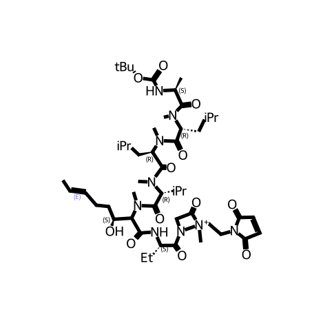 C/C=C/CC[C@H](O)C(C(=O)N[C@@H](CC)C(=O)N1CC(=O)[N+]1(C)CCN1C(=O)C=CC1=O)N(C)C(=O)[C@@H](C(C)C)N(C)C(=O)[C@@H](CC(C)C)N(C)C(=O)[C@@H](CC(C)C)N(C)C(=O)[C@H](C)NC(=O)OC(C)(C)C